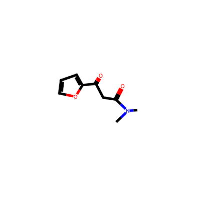 CN(C)C(=O)CC(=O)c1ccco1